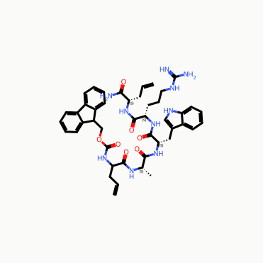 C=CCC(NC(=O)OCC1c2ccccc2-c2ccccc21)C(=O)N[C@@H](C)C(=O)N[C@@H](Cc1c[nH]c2ccccc12)C(=O)N[C@@H](CCCNC(=N)N)C(=O)N[C@@H](CC=C)C(N)=O